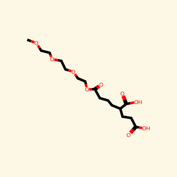 COCCOCCOCCOC(=O)CCCC(CCC(=O)O)C(=O)O